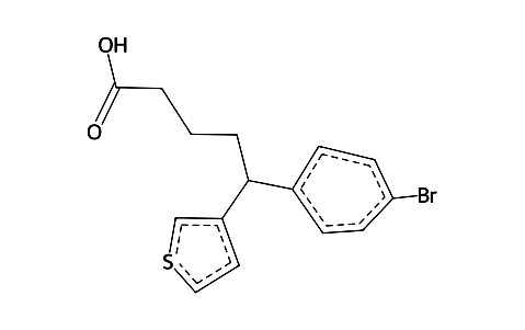 O=C(O)CCCC(c1ccc(Br)cc1)c1ccsc1